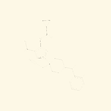 CC(c1ccccc1O)N1CCC(CC#N)(n2cc(C(N)=O)c(NC(=O)C3CC3)n2)CC1